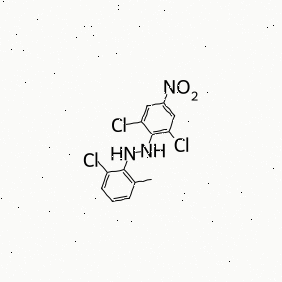 Cc1cccc(Cl)c1NNc1c(Cl)cc([N+](=O)[O-])cc1Cl